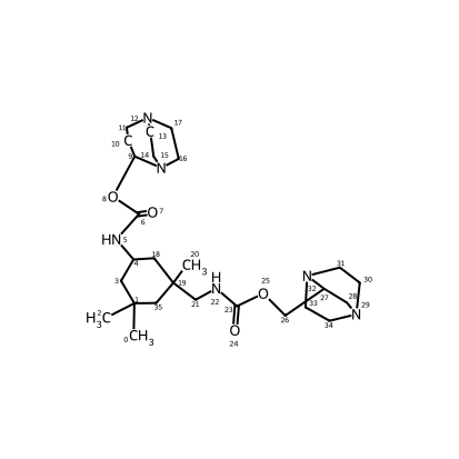 CC1(C)CC(NC(=O)OC2CCN3CCN2CC3)CC(C)(CNC(=O)OCC2CN3CCN2CC3)C1